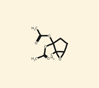 CC(=O)OC1(OC(C)=O)CCC2OC21C